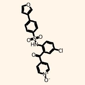 O=C(c1cc[n+]([O-])cc1)c1cc(Cl)ccc1NS(=O)(=O)c1ccc(-c2ccoc2)cc1